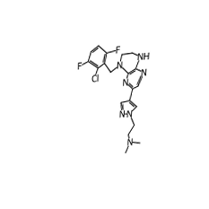 CN(C)CCn1cc(-c2cnc3c(n2)N(Cc2c(F)ccc(F)c2Cl)CCN3)cn1